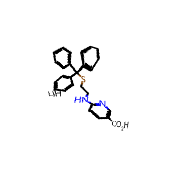 O=C(O)c1ccc(NCCSC(c2ccccc2)(c2ccccc2)c2ccccc2)nc1.[LiH]